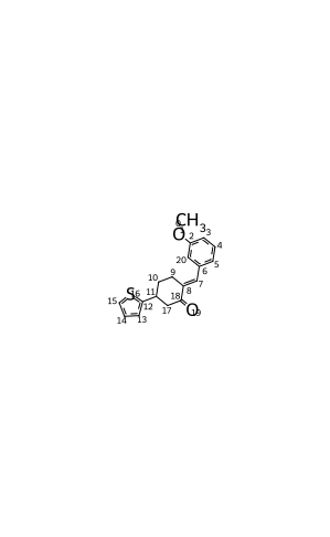 COc1cccc(C=C2CCC(c3cccs3)CC2=O)c1